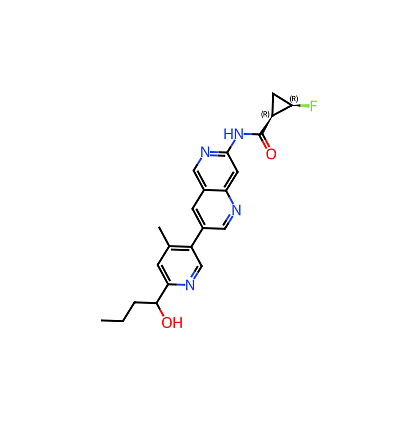 CCCC(O)c1cc(C)c(-c2cnc3cc(NC(=O)[C@H]4C[C@H]4F)ncc3c2)cn1